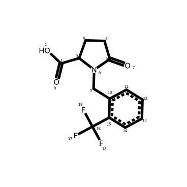 O=C(O)C1CCC(=O)N1Cc1ccccc1C(F)(F)F